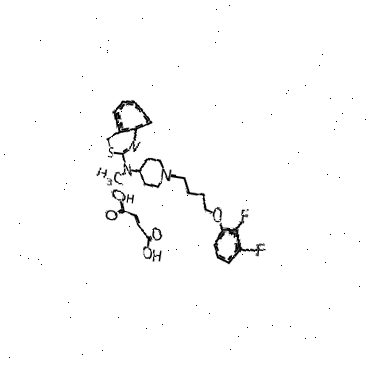 CN(C1=Nc2ccccc2CS1)C1CCN(CCCCOc2cccc(F)c2F)CC1.O=C(O)/C=C/C(=O)O